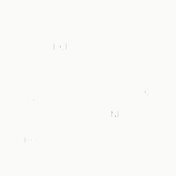 Cl.NC(CCC(=O)O)c1ccccc1Cl